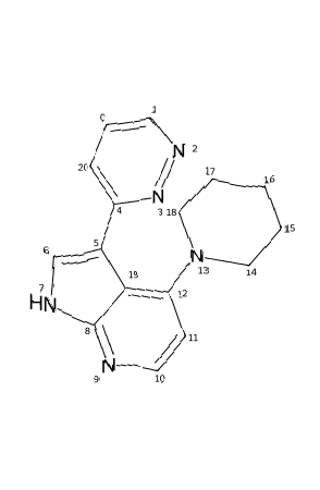 c1cnnc(-c2c[nH]c3nccc(N4CCCCC4)c23)c1